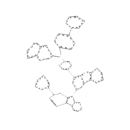 C1=CC(c2ccccc2)Cc2c1c1ccccc1n2-c1cc(-c2ccc(N(c3ccc(-c4ccccc4)cc3)c3ccc4ccccc4c3)cc2)c2oc3ccccc3c2c1